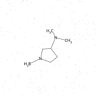 BN1CCC(N(C)C)C1